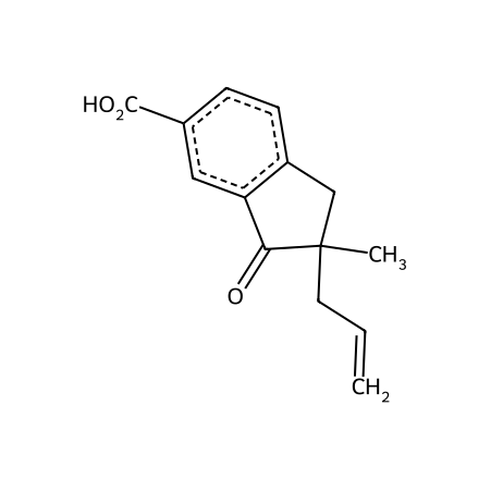 C=CCC1(C)Cc2ccc(C(=O)O)cc2C1=O